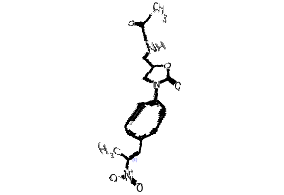 CC(=O)NCC1CN(c2ccc(/C=C(\C)[N+](=O)[O-])cc2)C(=O)O1